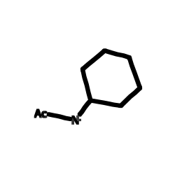 CC(=O)[N]C1CCCCC1